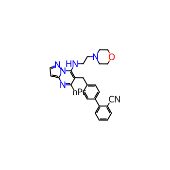 CCCc1nc2ccnn2c(NCCN2CCOCC2)c1Cc1ccc(-c2ccccc2C#N)cc1